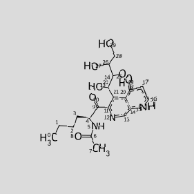 CCCC[C@H](NC(C)=O)C(=O)c1ncc2[nH]ccc(=O)c2c1C(O)C(O)C(O)CO